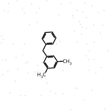 Cc1cc(C)cc(Cc2cc[c]cc2)c1